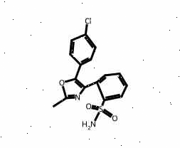 Cc1nc(-c2ccccc2S(N)(=O)=O)c(-c2ccc(Cl)cc2)o1